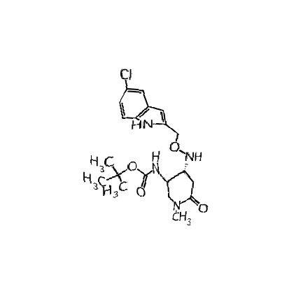 CN1CC(NC(=O)OC(C)(C)C)[C@H](NOCc2cc3cc(Cl)ccc3[nH]2)CC1=O